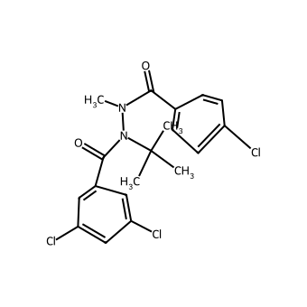 CN(C(=O)c1ccc(Cl)cc1)N(C(=O)c1cc(Cl)cc(Cl)c1)C(C)(C)C